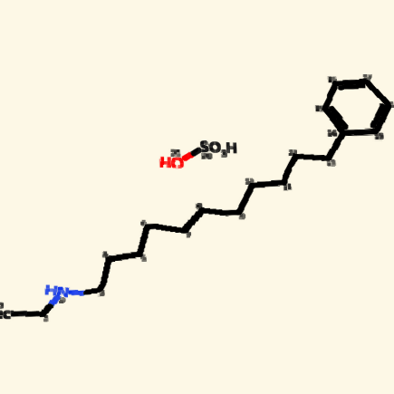 CCCCCCCCCCCNCCCCCCCCCCCc1ccccc1.O=S(=O)(O)O